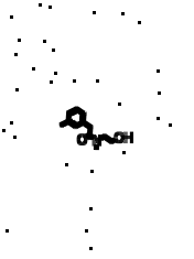 Cc1cccc(CC(=O)N(C)CCO)c1